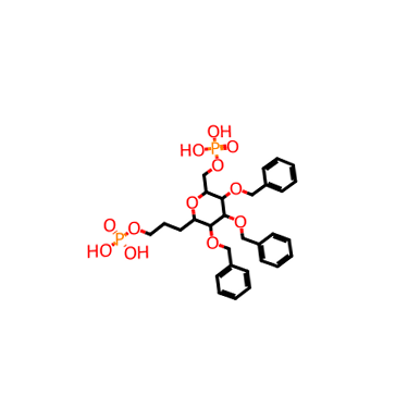 O=P(O)(O)OCCCC1OC(COP(=O)(O)O)C(OCc2ccccc2)C(OCc2ccccc2)C1OCc1ccccc1